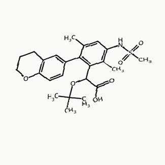 Cc1cc(NS(C)(=O)=O)c(C)c(C(OC(C)(C)C)C(=O)O)c1-c1ccc2c(c1)CCCO2